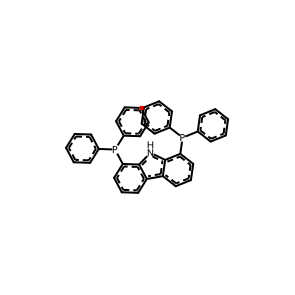 c1ccc(P(c2ccccc2)c2cccc3c2[nH]c2c(P(c4ccccc4)c4ccccc4)cccc23)cc1